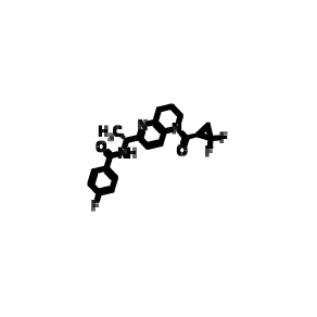 C[C@@H](NC(=O)c1ccc(F)cc1)c1ccc2c(n1)CCCN2C(=O)[C@H]1CC1(F)F